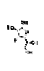 OC[C@H](O)[C@H]1O[C@H](O)[C@H](O)[C@H]1F